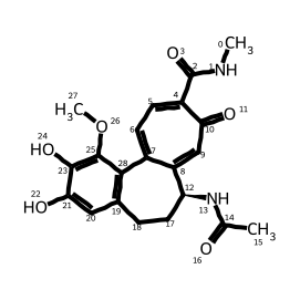 CNC(=O)c1ccc2c(cc1=O)[C@@H](NC(C)=O)CCc1cc(O)c(O)c(OC)c1-2